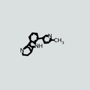 Cc1ccc(-c2cccc3c4c([nH]c23)C2CCN(CC2)C4)cn1